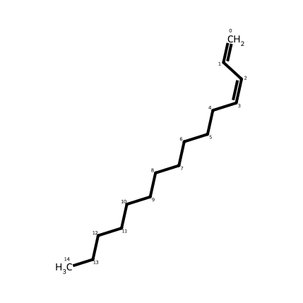 C=C/C=C\CCCCCCCCCCC